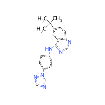 CC(C)(C)c1ccc2ncnc(Nc3ccc(-n4cncn4)cc3)c2c1